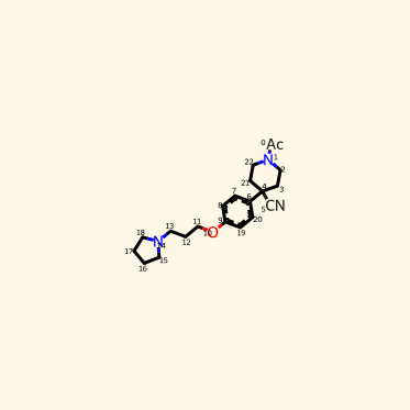 CC(=O)N1CCC(C#N)(c2ccc(OCCCN3CCCC3)cc2)CC1